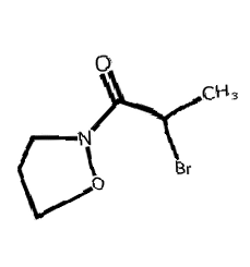 CC(Br)C(=O)N1CCCO1